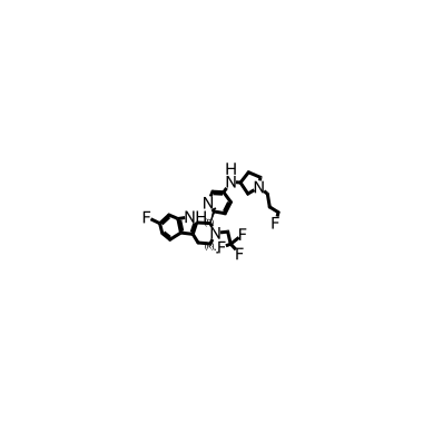 C[C@@H]1Cc2c([nH]c3cc(F)ccc23)[C@@H](c2ccc(NC3CCN(CCCF)C3)cn2)N1CC(F)(F)F